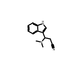 CN(C)C(CC#N)c1c[nH]c2ccccc12